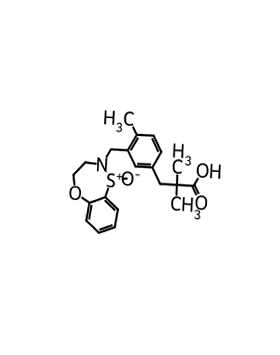 Cc1ccc(CC(C)(C)C(=O)O)cc1CN1CCOc2ccccc2[S+]1[O-]